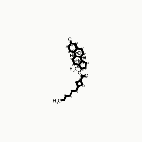 CCCCCCC1CC(C(=O)O[C@H]2CC[C@H]3[C@@H]4CCC5=CC(=O)CC[C@]5(C)[C@H]4CC[C@]23C)C1